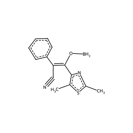 BOC(=C(C#N)c1ccccc1)c1nc(C)sc1C